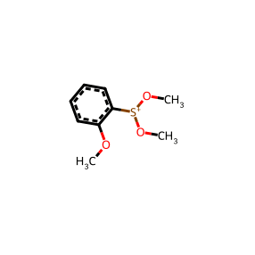 COc1ccccc1[S+](OC)OC